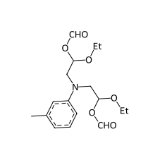 CCOC(CN(CC(OC=O)OCC)c1cccc(C)c1)OC=O